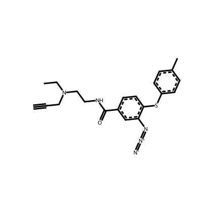 C#CCN(CC)CCNC(=O)c1ccc(Sc2ccc(C)cc2)c(N=[N+]=[N-])c1